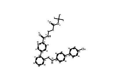 CC(C)(C)OC(=O)CCNC(=O)c1ccc(-c2ccccc2CNc2ccc(-c3ccc(Cl)cc3)cc2)cn1